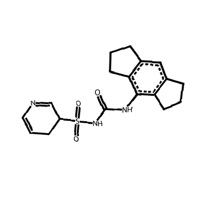 O=C(Nc1c2c(cc3c1CCC3)CCC2)NS(=O)(=O)C1C=NC=CC1